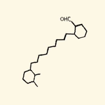 CC1CCCC(CCCCCCCCCC2CCCCC2C=O)C1C